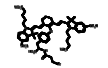 CC(C)CCC(=O)N[C@H](Cc1ccc(OC2=C(/C=C/C3=[N+](CCCCS(=O)(=O)O)c4ccc(S(=O)(=O)O)cc4C3(C)C)CCC/C2=C\C=C2\N(CCCCS(=O)(=O)O)c3ccc(S(=O)(=O)O)cc3C2(C)C)cc1)C(=O)O